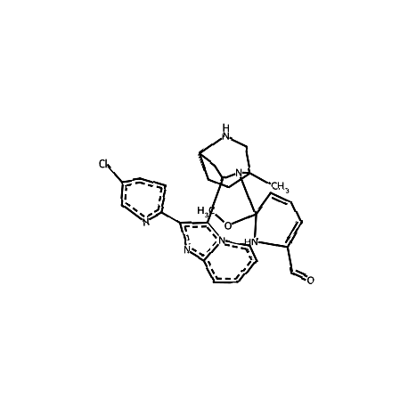 COC1(N2C(c3c(-c4ccc(Cl)cn4)nc4ccccn34)CC3CCC2(C)CN3)C=CC=C(C=O)N1